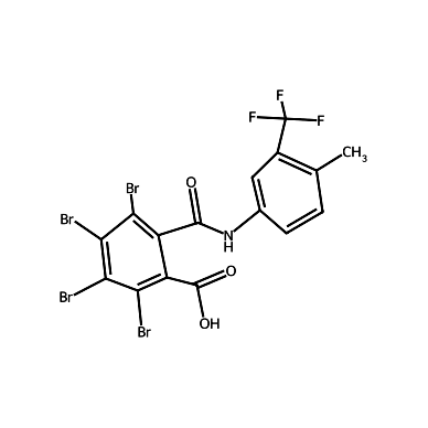 Cc1ccc(NC(=O)c2c(Br)c(Br)c(Br)c(Br)c2C(=O)O)cc1C(F)(F)F